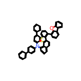 c1ccc(-c2ccc(N(c3ccc(-c4ccccc4)cc3)c3cccc4ccc5c(sc6cccc(-c7cccc8c7oc7ccccc78)c65)c34)cc2)cc1